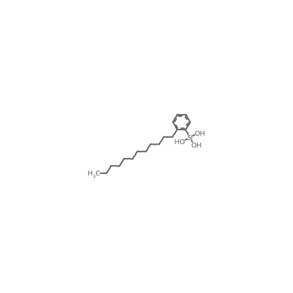 CCCCCCCCCCCCc1ccccc1[Si](O)(O)O